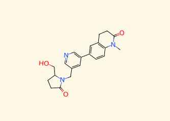 CN1C(=O)CCc2cc(-c3cncc(CN4C(=O)CCC4CO)c3)ccc21